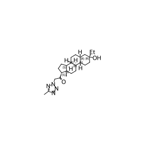 CC[C@@]1(O)CC[C@H]2[C@H](CC[C@@H]3[C@@H]2CC[C@]2(C)[C@@H](C(=O)Cn4nnc(C)n4)CC[C@@H]32)C1